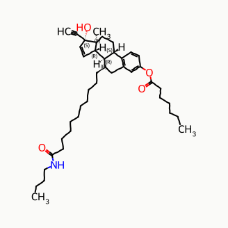 C#C[C@]1(O)C=C[C@H]2[C@@H]3[C@H](CCCCCCCCCCC(=O)NCCCC)Cc4cc(OC(=O)CCCCCC)ccc4[C@H]3CC[C@@]21C